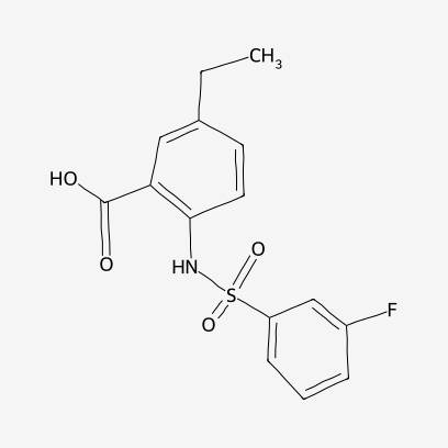 CCc1ccc(NS(=O)(=O)c2cccc(F)c2)c(C(=O)O)c1